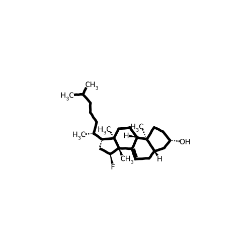 CC(C)CCC[C@@H](C)[C@H]1C[C@H](F)[C@@]2(C)C3=CC[C@H]4C[C@@H](O)CC[C@]4(C)[C@H]3CC[C@]12C